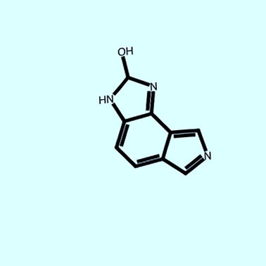 OC1N=c2c(ccc3c2=CN=C3)N1